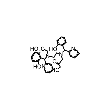 O=C(O)CN(CCN(CC(=O)CO)[C@H](c1ccccn1)c1ccccc1O)C(c1ccccn1)c1ccccc1O